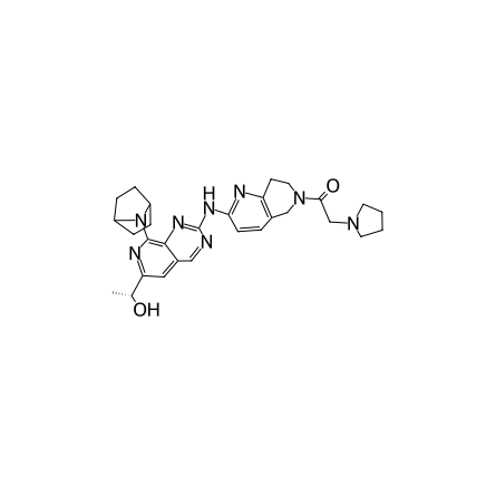 C[C@@H](O)c1cc2cnc(Nc3ccc4c(n3)CCN(C(=O)CN3CCCC3)C4)nc2c(N2C3CCC2CC3)n1